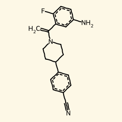 C=C(c1cc(N)ccc1F)N1CCC(c2ccc(C#N)cc2)CC1